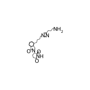 NCCCc1cn(CCCCc2cccc3c2CN(C2CCC(=O)NC2=O)C3=O)cn1